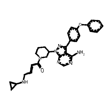 Nc1ncnc2c1c(-c1ccc(Oc3ccccc3)cc1)nn2C1CCCN(C(=O)/C=C/CNC2CC2)C1